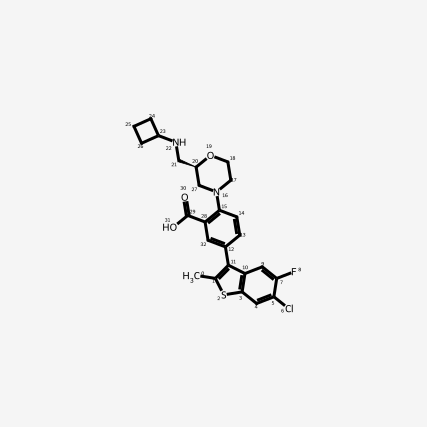 Cc1sc2cc(Cl)c(F)cc2c1-c1ccc(N2CCO[C@H](CNC3CCC3)C2)c(C(=O)O)c1